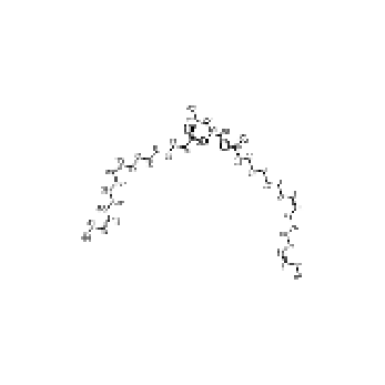 CC/C=C\CCCC/C=C\CCCCCCCC(=O)OC[C@H](CCC)OC(=O)CCCCCCC/C=C\CCCC/C=C\CC